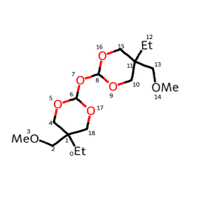 CCC1(COC)COC(OC2OCC(CC)(COC)CO2)OC1